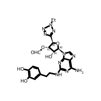 CCn1nnc([C@H]2O[C@@H](n3cnc4c(N)nc(NCCc5ccc(O)c(O)c5)nc43)[C@H](O)[C@@H]2OC=O)n1